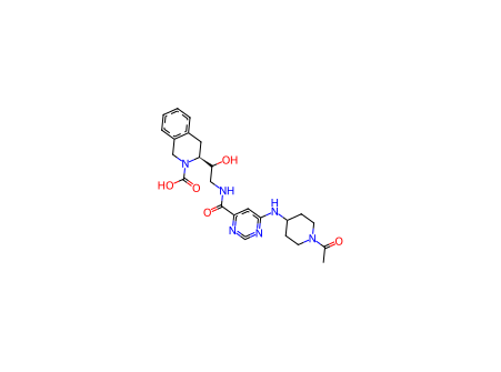 CC(=O)N1CCC(Nc2cc(C(=O)NCC(O)[C@@H]3Cc4ccccc4CN3C(=O)O)ncn2)CC1